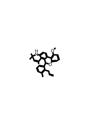 C=CCc1c(C)cccc1C1Oc2cccc(OC)c2-c2ccc3c(c21)C(C)=CC(C)(C)N3